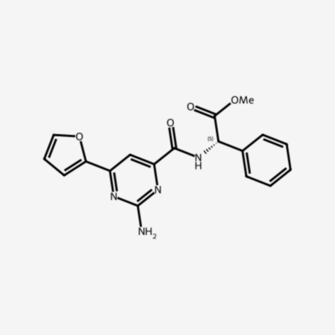 COC(=O)[C@@H](NC(=O)c1cc(-c2ccco2)nc(N)n1)c1ccccc1